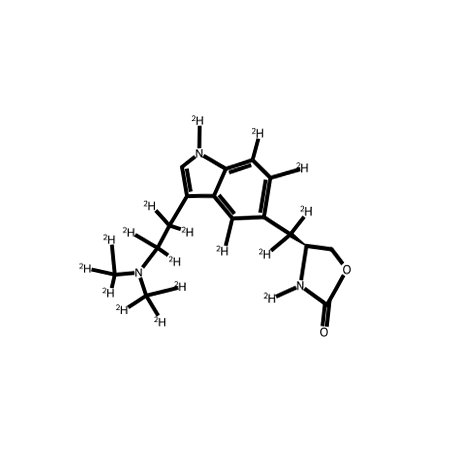 [2H]c1c(C([2H])([2H])[C@H]2COC(=O)N2[2H])c([2H])c2c(C([2H])([2H])C([2H])([2H])N(C([2H])([2H])[2H])C([2H])([2H])[2H])cn([2H])c2c1[2H]